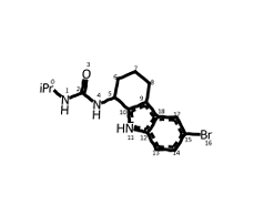 CC(C)NC(=O)NC1CCCc2c1[nH]c1ccc(Br)cc21